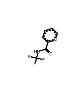 O=C(NC(F)(F)F)c1ccccn1